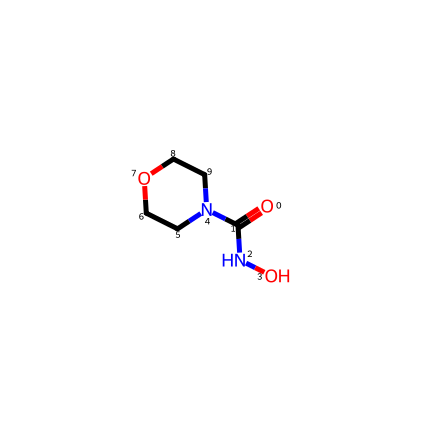 O=C(NO)N1CCOCC1